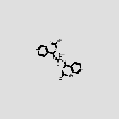 CCCC(=O)OC(OP([NH])(=O)OC(OC(=O)CCC)c1ccccc1)c1ccccc1